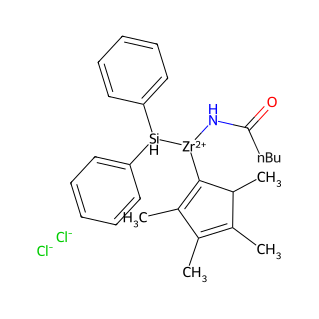 CCCCC(=O)[NH][Zr+2]([C]1=C(C)C(C)=C(C)C1C)[SiH](c1ccccc1)c1ccccc1.[Cl-].[Cl-]